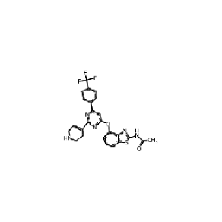 CC(=O)Nc1nc2c(Oc3cc(-c4ccc(C(F)(F)F)cc4)nc(C4=CCNCC4)n3)cccc2s1